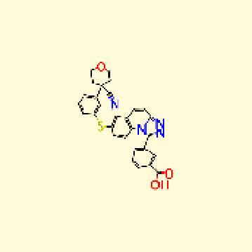 N#CC1(c2cccc(Sc3ccc4c(ccc5nnc(-c6cccc(C(=O)O)c6)n54)c3)c2)CCOCC1